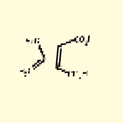 C=COC(C)=O.O=C(O)/C=C\C(=O)O